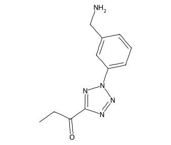 CCC(=O)c1nnn(-c2cccc(CN)c2)n1